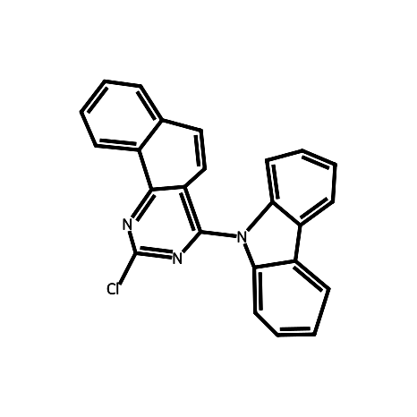 Clc1nc(-n2c3ccccc3c3ccccc32)c2ccc3ccccc3c2n1